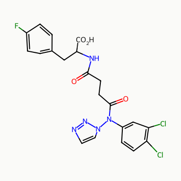 O=C(CCC(=O)N(c1ccc(Cl)c(Cl)c1)n1ccnn1)NC(Cc1ccc(F)cc1)C(=O)O